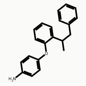 CC(Cc1ccccc1)c1ccccc1Oc1ccc(N)cc1